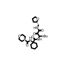 CCCCC(NC(=O)C1(NC(=O)N2CCOCC2)CCCCC1)C(=O)C(=O)NC[C@@H]1CCCO1